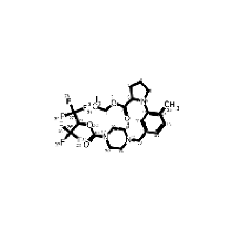 CCOC(=O)C1CCCN1c1cc(CN2CCN(C(=O)OC(C(F)(F)F)C(F)(F)F)CC2)ccc1C